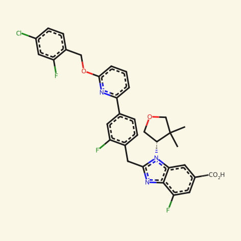 CC1(C)COC[C@H]1n1c(Cc2ccc(-c3cccc(OCc4ccc(Cl)cc4F)n3)cc2F)nc2c(F)cc(C(=O)O)cc21